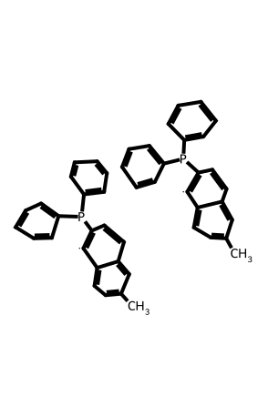 Cc1ccc2[c]c(P(c3ccccc3)c3ccccc3)ccc2c1.Cc1ccc2[c]c(P(c3ccccc3)c3ccccc3)ccc2c1